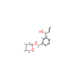 C=CC(O)c1cccc(COC2CCCCO2)c1